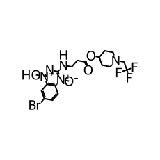 O=C(CCNc1n[n+](O)c2cc(Br)ccc2[n+]1[O-])OC1CCN(CC(F)(F)F)CC1